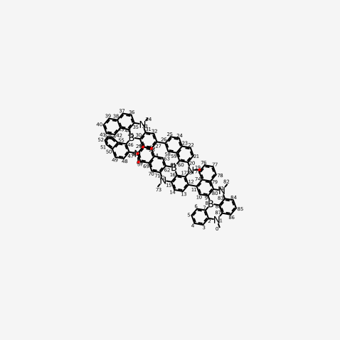 CN1c2ccccc2B2c3cc(-c4ccc5c6c4N(C)c4ccc7ccc(-c8cc9c%10c(c8)N(C)c8ccc%11ccccc%11c8B%10c8c(ccc%10ccccc8%10)N9C)cc7c4B6c4cc6ccccc6cc4N5C)c4ccccc4c3N(C)c3cccc1c32